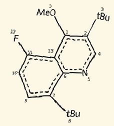 COc1c(C(C)(C)C)cnc2c(C(C)(C)C)ccc(F)c12